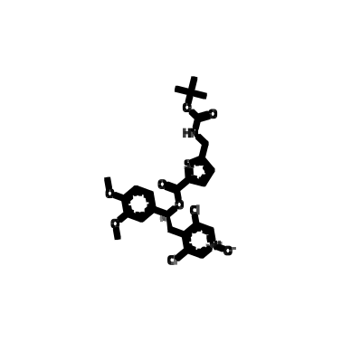 COc1ccc([C@H](Cc2c(Cl)c[n+]([O-])cc2Cl)OC(=O)c2ccc(CNC(=O)OC(C)(C)C)s2)cc1OC